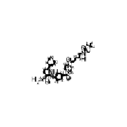 CC(C)(C)OC(=O)NCCCCC(=O)N1CCN(C(=O)c2ccc(NC3NC(C4=CC=NCC4)CCC3C(N)=O)cc2)CC1